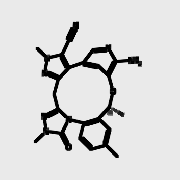 Cc1ccc2c(c1)[C@@H](C)Oc1cc(cnc1N)-c1c(nn(C)c1C#N)Cc1nn(C)c(=O)n1-2